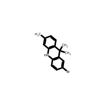 Cc1ccc2c(c1)Nc1ccc(Br)cc1C2(C)C